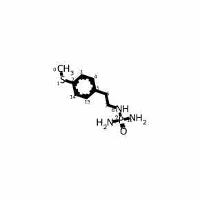 CSc1ccc(CCNP(N)(N)=O)cc1